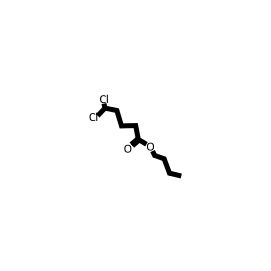 CCCCOC(=O)CCCC(Cl)Cl